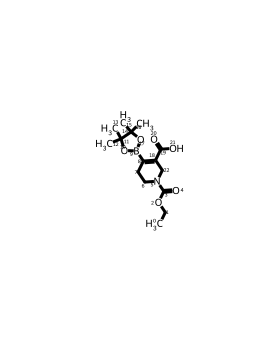 CCOC(=O)N1CCC(B2OC(C)(C)C(C)(C)O2)=C(C(=O)O)C1